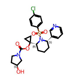 O=C(OC1([C@H]2CCC[C@@H](c3cccnc3)N2S(=O)(=O)c2ccc(Cl)cc2)CC1)N1CC[C@H](O)C1